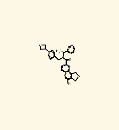 C[C@@H](c1ncccn1)N(Cc1ccc(C2COC2)cc1)C(=O)c1ccc2nc(N)c3c(c2c1)COC3